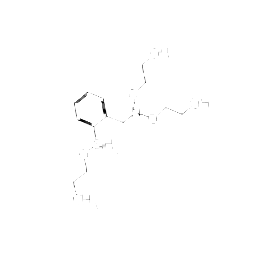 CCCO[SiH2]c1ccccc1CN(OCCO)OCCO